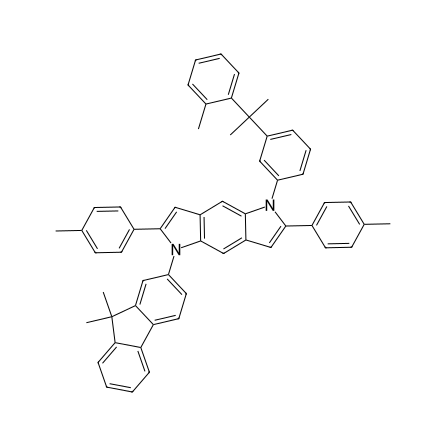 Cc1ccc(-c2cc3cc4c(cc(-c5ccc(C)cc5)n4-c4ccc5c(c4)C(C)(C)c4ccccc4-5)cc3n2-c2cccc(C(C)(C)c3ccccc3C)c2)cc1